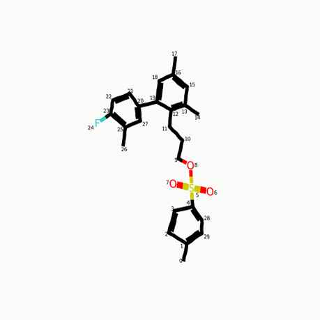 Cc1ccc(S(=O)(=O)OCCCc2c(C)cc(C)cc2-c2ccc(F)c(C)c2)cc1